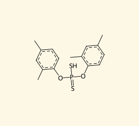 Cc1ccc(OP(=S)(S)Oc2ccc(C)cc2C)c(C)c1